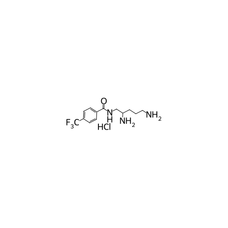 Cl.NCCCC(N)CNC(=O)c1ccc(C(F)(F)F)cc1